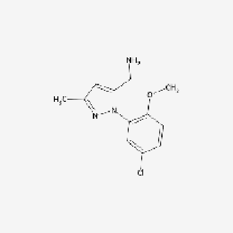 COc1ccc(Cl)cc1-n1nc(C)cc1CN